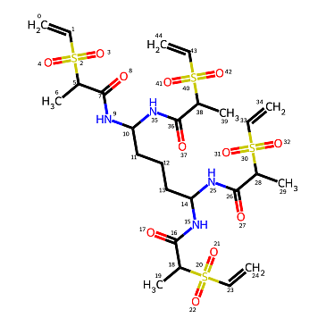 C=CS(=O)(=O)C(C)C(=O)NC(CCCC(NC(=O)C(C)S(=O)(=O)C=C)NC(=O)C(C)S(=O)(=O)C=C)NC(=O)C(C)S(=O)(=O)C=C